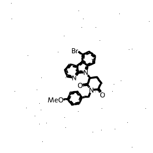 COc1ccc(CN2C(=O)CCC(n3c4cccc(Br)c4c4cccnc43)C2=O)cc1